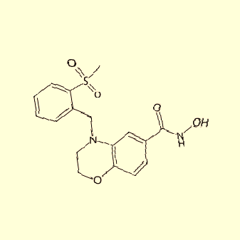 CS(=O)(=O)c1ccccc1CN1CCOc2ccc(C(=O)NO)cc21